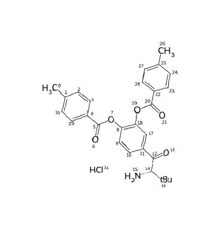 Cc1ccc(C(=O)Oc2ccc(C(=O)C(N)C(C)(C)C)cc2OC(=O)c2ccc(C)cc2)cc1.Cl